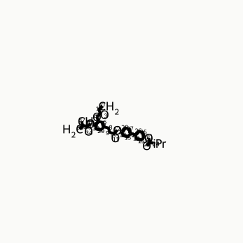 C=CC(=O)Oc1cc(CCC(=O)Oc2ccc(-c3ccc(OC(=O)C(C)C)cc3)cc2)ccc1OC(=O)C(=C)C